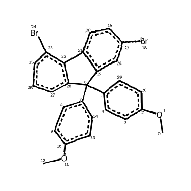 COc1ccc(C2(c3ccc(OC)cc3)c3cc(Br)ccc3-c3c(Br)cccc32)cc1